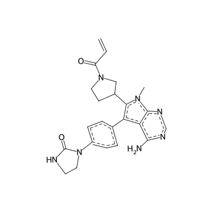 C=CC(=O)N1CCC(c2c(-c3ccc(N4CCNC4=O)cc3)c3c(N)ncnc3n2C)C1